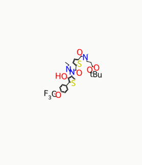 CC=NN(C(=O)c1ccc(C(=O)N(C)CCC(=O)OC(C)(C)C)s1)c1csc(-c2ccc(OC(F)(F)F)cc2)c1O